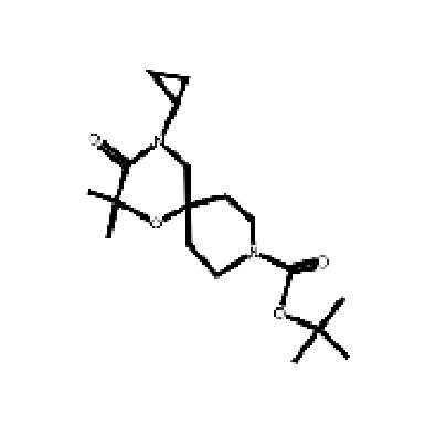 CC(C)(C)OC(=O)N1CCC2(CC1)CN(C1CC1)C(=O)C(C)(C)O2